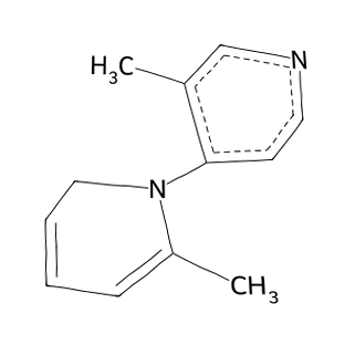 CC1=CC=CCN1c1ccncc1C